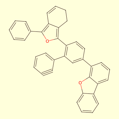 c1cccc(-c2cc(-c3cccc4c3oc3ccccc34)ccc2-c2oc(-c3ccccc3)c3c2CCC=C3)c#1